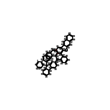 c1ccc(C2(c3ccccc3)c3ccccc3-c3ccc(N(c4ccccc4-c4cccc5c4oc4cc6ccccc6cc45)c4cccc5ccccc45)cc32)cc1